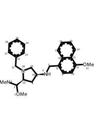 CNC(OC)[C@@H]1C[C@H](NCc2ccc(OC)c3ccccc23)CN1Cc1ccccc1